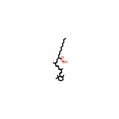 CCCCCCCCCCC(CC=C(C)C=CC=C(C)C=CC1=C(C)CCCC1(C)C)C(=O)OO